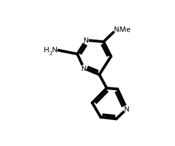 CNc1cc(-c2cccnc2)nc(N)n1